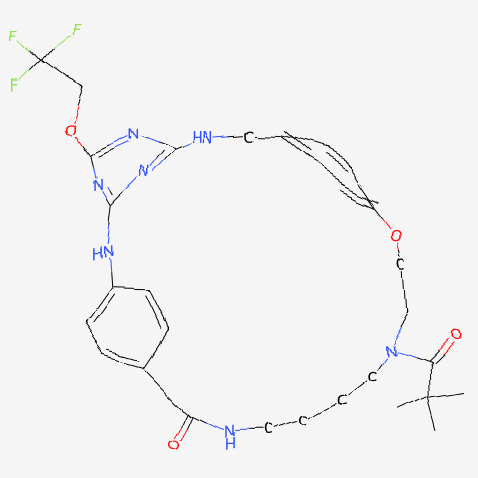 CC(C)(C)C(=O)N1CCCCNC(=O)c2ccc(cc2)Nc2nc(nc(OCC(F)(F)F)n2)NCc2ccc(cc2)OCC1